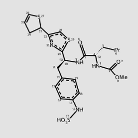 COC(=O)N[C@@H](CC(C)C)C(=O)N[C@@H](Cc1ccc(NS(=O)(=O)O)cc1)c1nc(C2CC=CS2)cs1